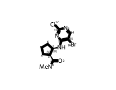 CNC(=O)[C@H]1CCC[C@H]1Nc1nc(Cl)ncc1Br